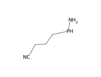 N#CCCCPN